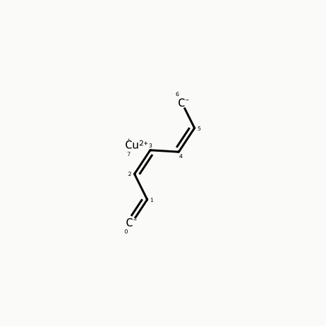 [CH-]=C/C=C\C=C/[CH2-].[Cu+2]